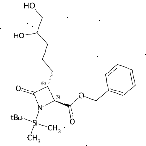 CC(C)(C)[Si](C)(C)N1C(=O)[C@H](CCCC(O)CO)[C@H]1C(=O)OCc1ccccc1